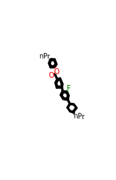 CCCc1ccc(OC(=O)c2ccc(-c3ccc(C4CCC(CCC)CC4)cc3F)cc2)cc1